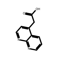 O=C(O)Cc1ccnc2ncccc12